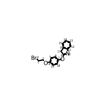 BrCCOc1ccc(OC2=Nc3ccccc3C2)cc1